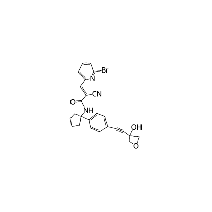 N#C/C(=C\c1cccc(Br)n1)C(=O)NC1(c2ccc(C#CC3(O)COC3)cc2)CCCC1